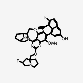 C#Cc1c(F)ccc2cc(O)cc(-c3c(Cl)c4c5c(nc(OCC67CCCN6CC(F)C7)nc5c3OC)N3CC5CCC(N5)C3CO4)c12